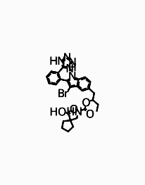 CCC(Cc1ccc2[nH]c(-c3ccccc3-c3nnn[nH]3)c(Br)c2c1)OC(=O)NCC1(C(=O)O)CCCC1